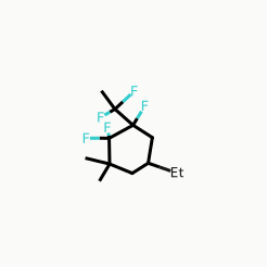 CCC1CC(C)(C)C(F)(F)C(F)(C(C)(F)F)C1